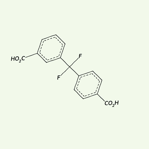 O=C(O)c1ccc(C(F)(F)c2cccc(C(=O)O)c2)cc1